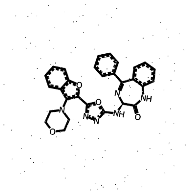 O=C1Nc2ccccc2C(c2ccccc2)=N[C@@H]1Nc1nnc(-c2oc3ccccc3c2N2CCOCC2)o1